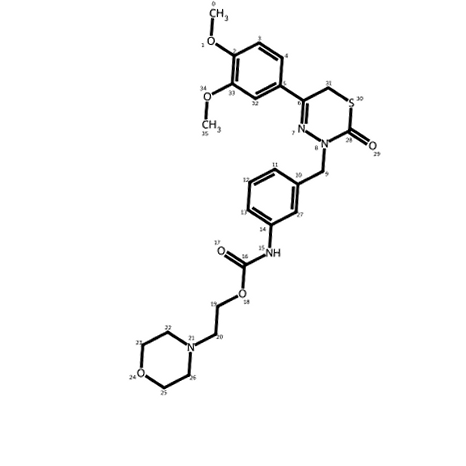 COc1ccc(C2=NN(Cc3cccc(NC(=O)OCCN4CCOCC4)c3)C(=O)SC2)cc1OC